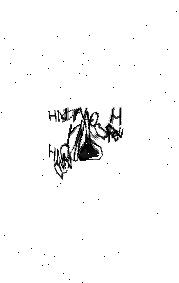 O=C(NC(Cc1ccc2[nH]nnc2c1)C(=O)N1CCN(C2CCNCC2)CC1)N1CCC(N2CCc3ccccc3NC2=O)CC1